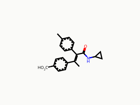 CC(=C(C(=O)NC1CC1)c1ccc(C)cc1)c1ccc(C(=O)O)cc1